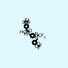 CCS(=O)(=O)c1ccc([C@@H](O)C(=O)Nc2ccc3c(c2)nc(C(F)(F)F)n3Cc2cccc3c2OC(F)(F)O3)cc1